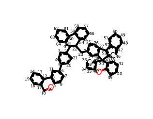 CC(c1ccc(-c2ccc3c(c2)-c2ccccc2CO3)cc1)C(Cc1ccc2c(c1)C1(c3ccccc3Oc3ccccc31)c1ccc3ccccc3c1-2)c1ccccc1-c1ccccc1